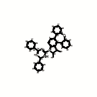 CC1c2c(ccc3c2-c2ccccc2Oc2ccccc2-3)N(C2=NC(c3ccccc3)=NC(c3ccccc3)N2)C1C